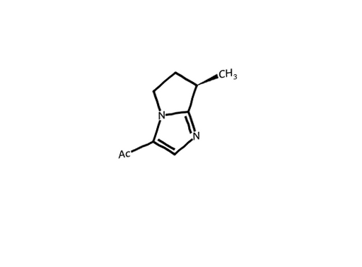 CC(=O)c1cnc2n1CC[C@H]2C